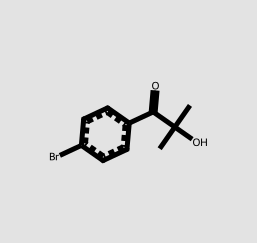 CC(C)(O)C(=O)c1ccc(Br)cc1